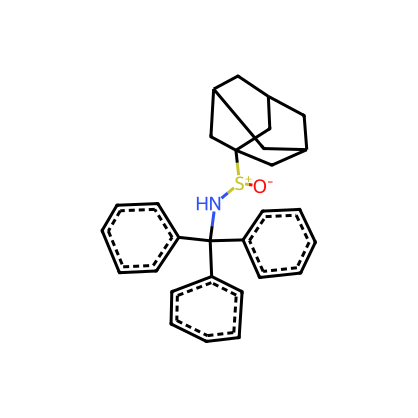 [O-][S+](NC(c1ccccc1)(c1ccccc1)c1ccccc1)C12CC3CC(CC(C3)C1)C2